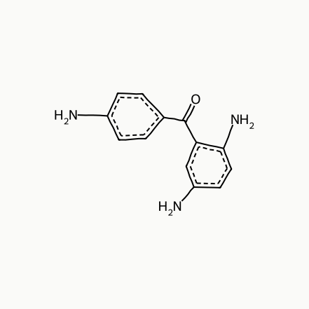 Nc1ccc(C(=O)c2cc(N)ccc2N)cc1